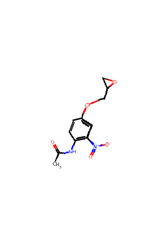 CC(=O)Nc1ccc(OCC2CO2)cc1[N+](=O)[O-]